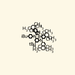 CCC(C)c1ccc(N2c3cc(C(C)(C)C)cc4c3B(c3cc5c(cc3N4C3C=CC4=C(C3)C(C)(C)CCC4(C)C)C(C)(C)CCC5(C)C)c3sc4cc5c(cc4c32)C(C)(C)CCC5(C)C)cc1